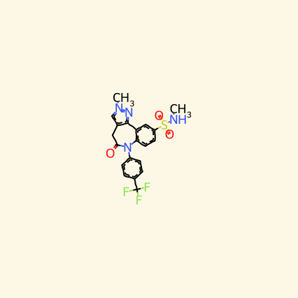 CNS(=O)(=O)c1ccc2c(c1)-c1nn(C)cc1CC(=O)N2c1ccc(C(F)(F)F)cc1